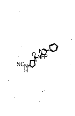 N#CN[C@H]1CC[C@H](C(=O)Nc2ncc(-c3ccccc3)s2)C1